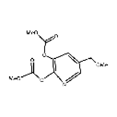 COCc1cnc(OC(=O)OC)c(OC(=O)OC)c1